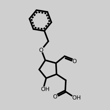 O=CC1C(OCc2ccccc2)CC(O)C1CC(=O)O